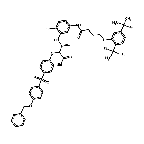 CCC(C)(C)c1ccc(C(C)(C)CC)c(OCCCC(=O)Nc2ccc(Cl)c(NC(=O)C(Oc3ccc(S(=O)(=O)c4ccc(OCc5ccccc5)cc4)cc3)C(=O)C(C)(C)C)c2)c1